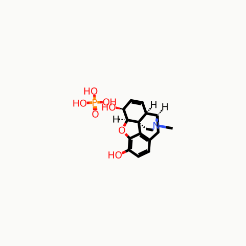 CN1CC[C@]23c4c5ccc(O)c4O[C@H]2[C@@H](O)C=C[C@H]3[C@H]1C5.O=P(O)(O)O